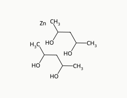 CC(O)CC(C)O.CC(O)CC(C)O.[Zn]